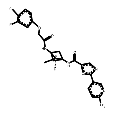 C[C@H]1C2(NC(=O)COc3ccc(Cl)c(F)c3)CC1(NC(=O)c1cnc(-c3ccc(C(F)(F)F)nc3)o1)C2